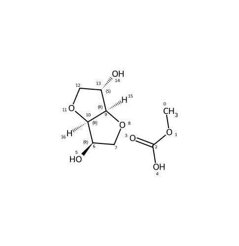 COC(=O)O.O[C@@H]1CO[C@H]2[C@@H]1OC[C@@H]2O